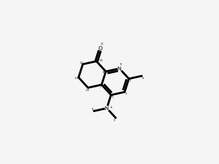 Cc1cc(N(C)C)c2c(n1)C(=O)CCC2